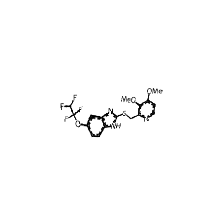 COc1ccnc(CSc2nc3cc(OC(F)(F)C(F)F)ccc3[nH]2)c1OC